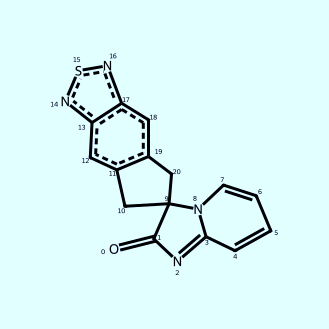 O=C1N=C2C=CC=CN2C12Cc1cc3nsnc3cc1C2